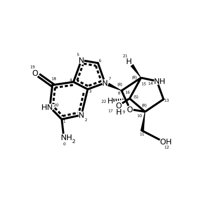 Nc1nc2c(ncn2[C@@H]2O[C@@]3(CO)CN[C@@H]2[C@@H]3O)c(=O)[nH]1